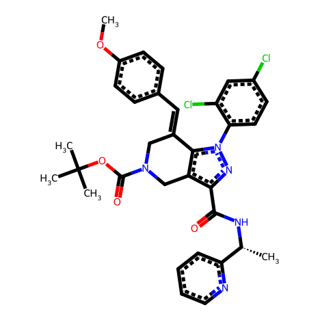 COc1ccc(/C=C2\CN(C(=O)OC(C)(C)C)Cc3c(C(=O)N[C@H](C)c4ccccn4)nn(-c4ccc(Cl)cc4Cl)c32)cc1